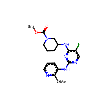 COc1ncccc1Nc1ncc(F)c(NC2CCCN(C(=O)OC(C)(C)C)C2)n1